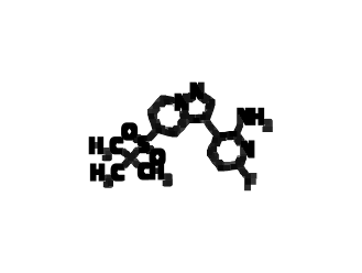 CC(C)(C)S(=O)(=O)c1ccn2ncc(-c3ccc(F)nc3N)c2c1